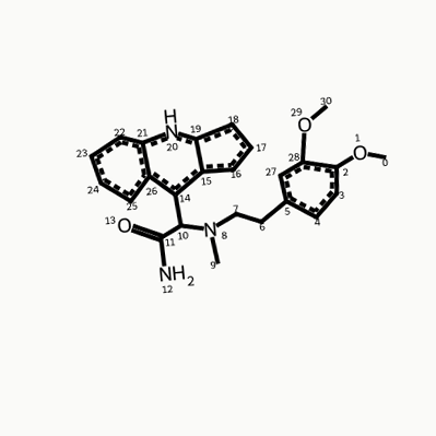 COc1ccc(CCN(C)C(C(N)=O)c2c3cccc-3[nH]c3ccccc23)cc1OC